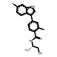 C[C@@H](CO)NC(=O)c1ccc(-c2c[nH]c3cc(F)ccc23)cc1F